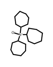 [O-][N+](C1CCCCCC1)(C1CCCCCC1)C1CCCCCC1